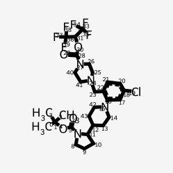 CC(C)(C)OC(=O)N1CCCC1C1CCN(c2cc(Cl)ccc2CN2CCN(C(=O)OC(C(F)(F)F)C(F)(F)F)CC2)CC1